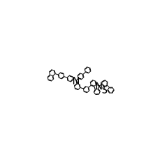 c1ccc(-c2ccc(N(c3ccc(-c4ccc(-c5cccc6ccccc56)cc4)cc3)c3cccc(-c4cccc(-c5cccc6c5c5ccccc5n6-c5cccc6c5sc5ccccc56)c4)c3)cc2)cc1